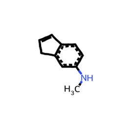 CNc1ccc2c(c1)CC=C2